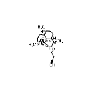 C#CCCO[C@@H]1O[C@@H]2O[C@]3(C)CC[C@H]4[C@H](C)CC[C@@H]([C@H]1C)[C@@]24OO3